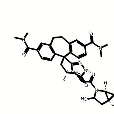 C[C@H](CC1(c2n[nH]c(=O)[nH]2)c2ccc(C(=O)N(C)C)cc2CCc2cc(C(=O)N(C)C)ccc21)NCC(=O)N1C(C#N)C[C@@H]2C[C@@H]21